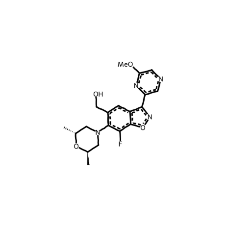 COc1cncc(-c2noc3c(F)c(N4C[C@@H](C)O[C@H](C)C4)c(CO)cc23)n1